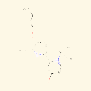 COCCCOc1cc2c(nc1OC)-c1cc(=O)ccn1C(C)(C(C)(C)C)C2